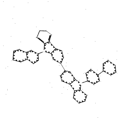 C1=c2c(n(-c3ccc4ccccc4c3)c3cc(-c4ccc5c6ccccc6n(-c6ccc(-c7ccccc7)cc6)c5c4)ccc23)=CCC1